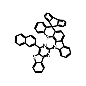 c1ccc2c(c1)Sc1c(ccc3c4ccccc4n(-c4nc(-c5ccc6ccccc6c5)c5sc6ccccc6c5n4)c13)C21c2ccccc2-c2ccccc21